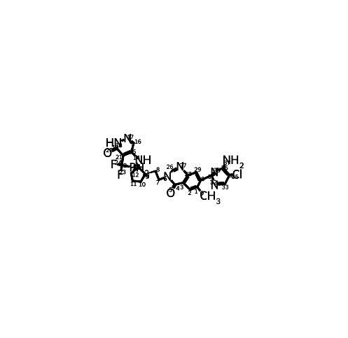 Cc1cc2c(=O)n(CC[C@H]3CCC[C@@H]3Nc3cn[nH]c(=O)c3C(F)(F)P)cnc2cc1-c1ncc(Cl)c(N)n1